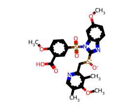 COc1ccc2nc([S+]([O-])Cc3ncc(C)c(OC)c3C)n(S(=O)(=O)c3ccc(OC)c(C(=O)O)c3)c2c1